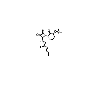 C=CCOC(=O)O[C@H](C)[C@H]1C(=O)N[C@@H]1[C@H]1CCC[C@H](O[Si](C)(C)C)C1=O